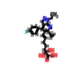 CCn1ncc2c(-c3ccc(F)cc3)c(C=CCCCC(O)(O)C(=O)O)c(C3CC3)nc21